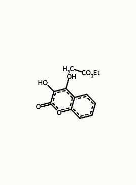 CCOC(C)=O.O=c1oc2ccccc2c(O)c1O